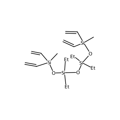 C=C[Si](C)(C=C)O[Si](CC)(CC)O[Si](CC)(CC)O[Si](C)(C=C)C=C